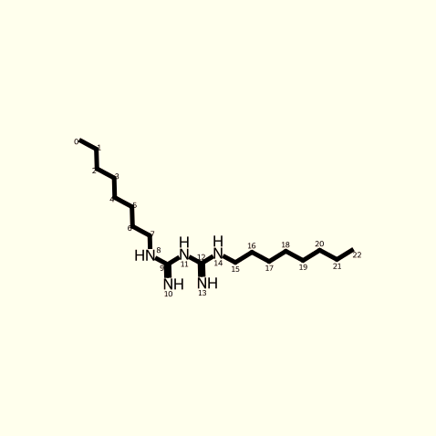 CCCCCCCCNC(=N)NC(=N)NCCCCCCCC